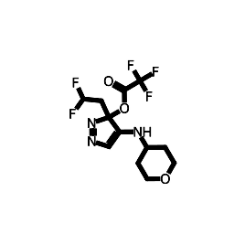 O=C(OC1(CC(F)F)N=NC=C1NC1CCOCC1)C(F)(F)F